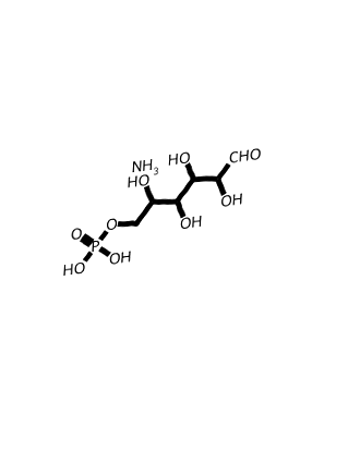 N.O=CC(O)C(O)C(O)C(O)COP(=O)(O)O